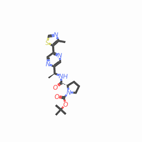 Cc1ncsc1-c1cnc([C@H](C)NC(=O)[C@@H]2CCCN2C(=O)OC(C)(C)C)cn1